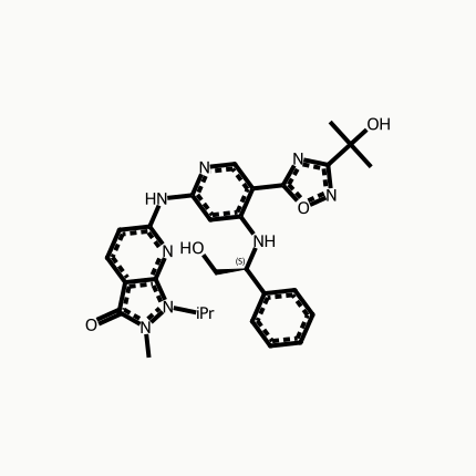 CC(C)n1c2nc(Nc3cc(N[C@H](CO)c4ccccc4)c(-c4nc(C(C)(C)O)no4)cn3)ccc2c(=O)n1C